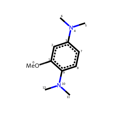 COc1cc(N(C)C)ccc1N(C)C